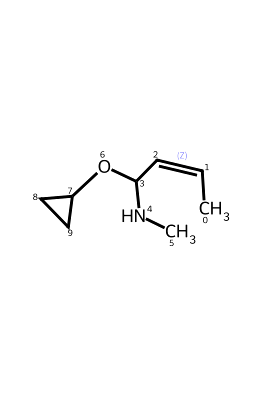 C/C=C\C(NC)OC1CC1